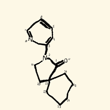 O=C1N(c2ccccn2)CCC12CCCCC2